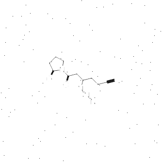 C#CCCC(CC(=O)N1CCCC1=O)N=[N+]=[N-]